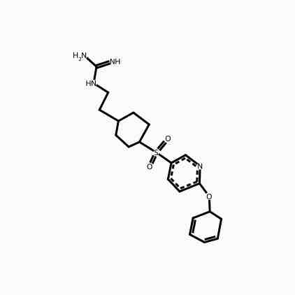 N=C(N)NCCC1CCC(S(=O)(=O)c2ccc(OC3C=CC=CC3)nc2)CC1